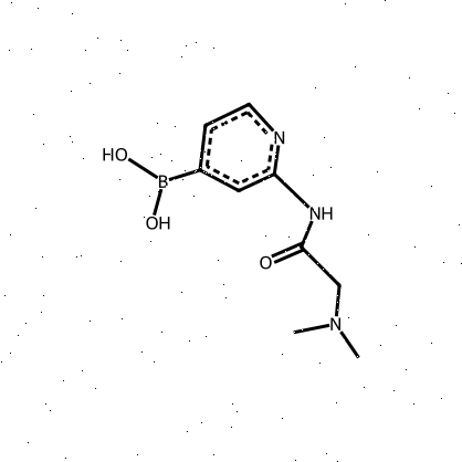 CN(C)CC(=O)Nc1cc(B(O)O)ccn1